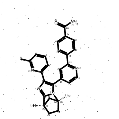 Cc1cccc(-c2nc3n(c2-c2ccnc(-c4ccc(C(N)=O)cc4)c2)[C@H]2CC[C@@H]3C2)n1